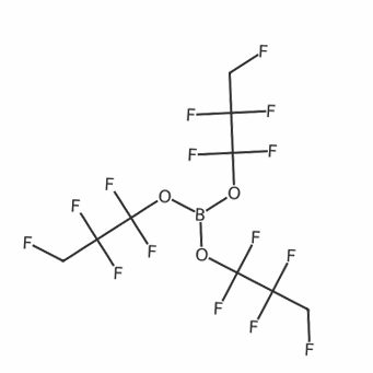 FCC(F)(F)C(F)(F)OB(OC(F)(F)C(F)(F)CF)OC(F)(F)C(F)(F)CF